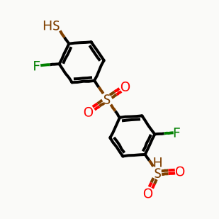 O=[SH](=O)c1ccc(S(=O)(=O)c2ccc(S)c(F)c2)cc1F